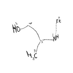 CCNC(C)CO